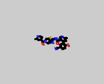 COc1ccc(C#N)cc1-c1cc(C)ncc1C(=O)Nc1nc2c(s1)CN(C(=O)c1ccnc(C)c1)C2